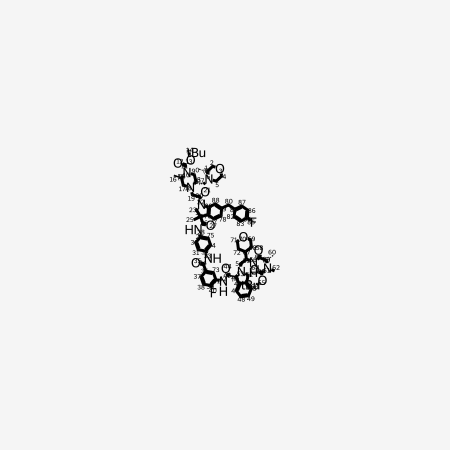 C[C@@H]1COCCN1C[C@H]1CN(C(=O)OC(C)(C)C)[C@H](C)CN1CC(=O)N1CC(C)(C(=O)Nc2ccc(NC(=O)c3ccc(F)c(NC(=O)[C@@H]4c5ccccc5CN4CC(NC(=O)[C@H](C)N(C)C(=O)OC(C)(C)C)C4CCOCC4)c3)cc2)c2ccc(Cc3ccc(F)cc3)cc21